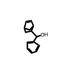 OC(c1ccccc1)C1CC2C=CC1C2